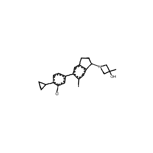 Cc1cc2c(cc1-c1ccc(C3CC3)c(Cl)c1)CCC2N1CC(C)(O)C1